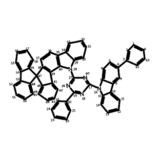 c1ccc(-c2ccc3c(c2)c2ccccc2n3-c2nc(-c3ccccc3)nc(-n3c4ccccc4c4ccc5c(c43)-c3ccccc3C53c4ccccc4-c4ccccc43)n2)cc1